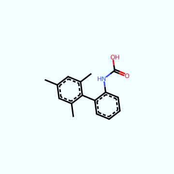 Cc1cc(C)c(-c2ccccc2NC(=O)O)c(C)c1